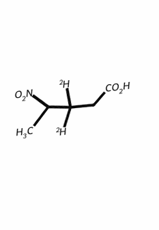 [2H]C([2H])(CC(=O)O)C(C)[N+](=O)[O-]